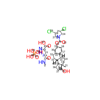 CNC(=O)CCC(N)C(=O)O.C[C@]12CC[C@@H]3c4ccc(OC(=O)N(CCCl)CCCl)cc4CC[C@H]3[C@@H]1CC[C@@H]2O.O=P(O)(O)O